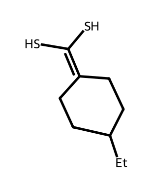 CCC1CCC(=C(S)S)CC1